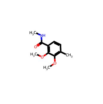 CNC(=O)c1ccc(C)c(OC)c1OC